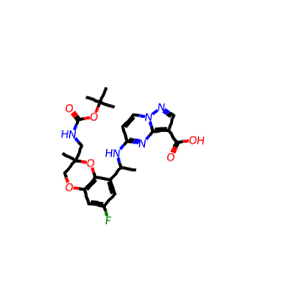 CC(Nc1ccn2ncc(C(=O)O)c2n1)c1cc(F)cc2c1OC(C)(CNC(=O)OC(C)(C)C)CO2